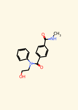 CNC(=O)c1ccc(C(=O)N(CCO)c2ccccc2)cc1